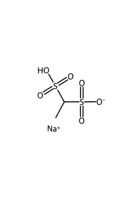 CC(S(=O)(=O)[O-])S(=O)(=O)O.[Na+]